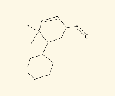 CC1(C)C=CC(C=O)CC1C1CCCCC1